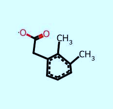 Cc1cccc(CC([O])=O)c1C